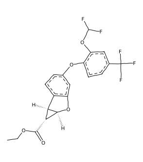 CCOC(=O)[C@H]1[C@@H]2Oc3cc(Oc4ccc(C(F)(F)F)cc4OC(F)F)ccc3[C@@H]21